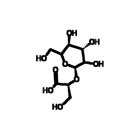 O=C(O)[C@H](CO)O[C@H]1OC(CO)[C@@H](O)[C@H](O)C1O